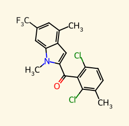 Cc1ccc(Cl)c(C(=O)c2cc3c(C)cc(C(F)(F)F)cc3n2C)c1Cl